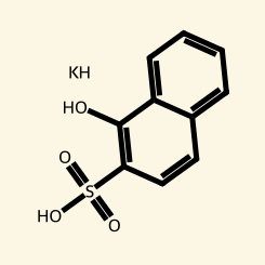 O=S(=O)(O)c1ccc2ccccc2c1O.[KH]